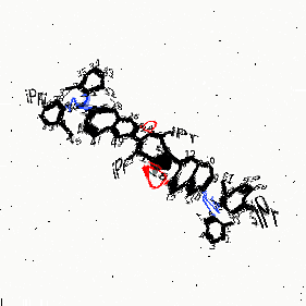 Cc1ccccc1N(c1ccc2cc3c(cc2c1)oc1c(C(C)C)c2c(oc4cc5cc(N(c6ccccc6C)c6cc(C(C)C)ccc6C)ccc5cc42)c(C(C)C)c13)c1cc(C(C)C)ccc1C